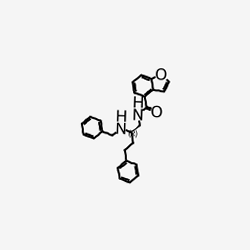 O=C(NC[C@@H](CCc1ccccc1)NCc1ccccc1)c1cccc2occc12